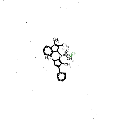 CC1=[C]([Zr+2]([CH]2C(C)=C(C)c3ccccc32)=[Ge]([CH3])[CH3])C(C)C=C1c1ccccc1.[Cl-].[Cl-]